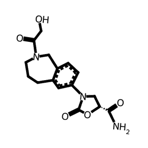 NC(=O)[C@H]1CN(c2ccc3c(c2)CCCN(C(=O)CO)C3)C(=O)O1